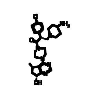 C[C@@H]1C[C@@H](O)c2ncnc(N3CCN(C(=O)[C@@H](CN4CCC(N)CC4)c4ccc(Cl)cc4)CC3)c21